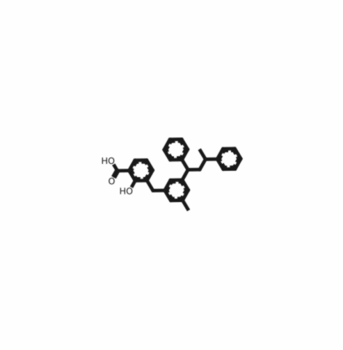 Cc1cc(Cc2cccc(C(=O)O)c2O)cc(C(CC(C)c2ccccc2)c2ccccc2)c1